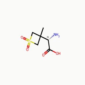 CC1([C@H](N)C(=O)O)CS(=O)(=O)C1